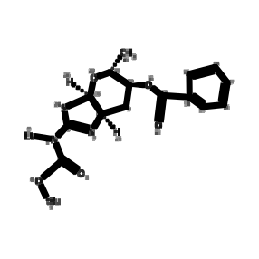 CCN(C(=O)OC(C)(C)C)C1=N[C@@H]2C[C@H](OC(=O)c3ccccc3)[C@@H](C)O[C@@H]2S1